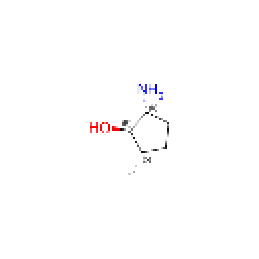 C[C@H]1CC[C@@H](N)[C@@H]1O